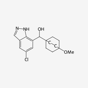 COC12CCC(C(O)c3cc(Cl)cc4cn[nH]c34)(CC1)CC2